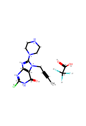 CC#CCn1c(N2CCNCC2)nc2nc(Cl)[nH]c(=O)c21.O=C(O)C(F)(F)F